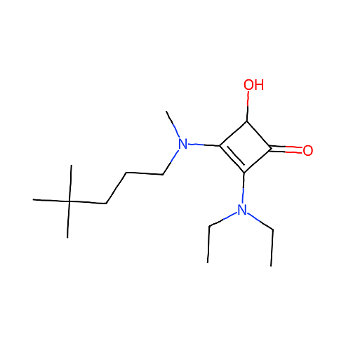 CCN(CC)C1=C(N(C)CCCC(C)(C)C)C(O)C1=O